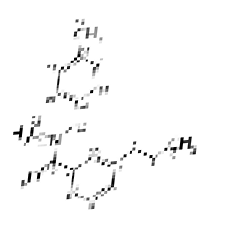 CCCc1cccc(C(=O)N(C)Cc2ccc(C)cc2)c1